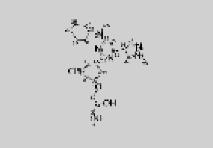 CNCC(O)COc1cc(Cl)cc(-c2nc(-c3cnn(C)c3)cc(N(C)C3CCCCC3)n2)c1